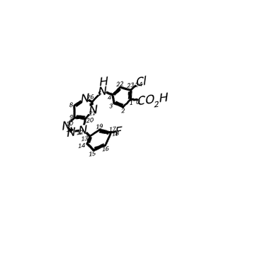 O=C(O)c1ccc(Nc2ncc3nnn(-c4cccc(F)c4)c3n2)cc1Cl